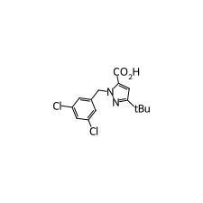 CC(C)(C)c1cc(C(=O)O)n(Cc2cc(Cl)cc(Cl)c2)n1